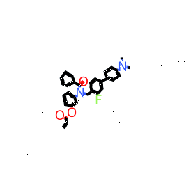 C=CC(=O)Oc1cccc(N(Cc2ccc(-c3ccc(N(C)C)cc3)cc2F)C(=O)c2ccccc2)c1